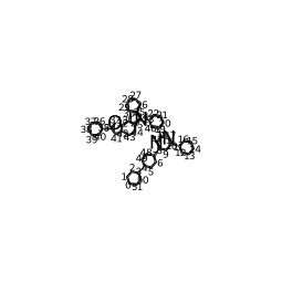 c1ccc(-c2ccc(-c3cc(-c4ccccc4)nc(-c4cccc(-n5c6ccccc6c6c7oc(-c8ccccc8)cc7ccc65)c4)n3)cc2)cc1